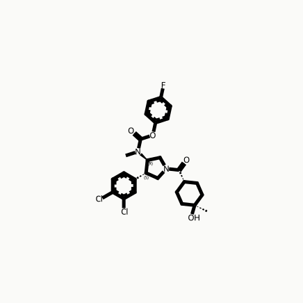 CN(C(=O)Oc1ccc(F)cc1)[C@H]1CN(C(=O)[C@H]2CC[C@](C)(O)CC2)C[C@@H]1c1ccc(Cl)c(Cl)c1